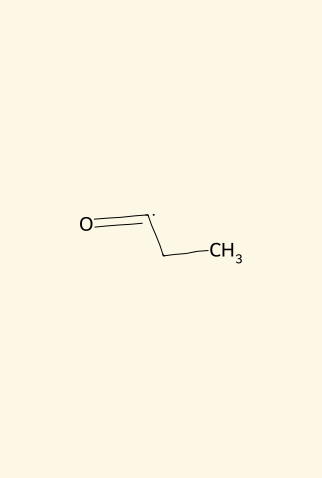 CC[C]=O